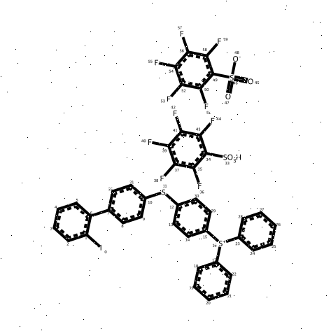 Ic1ccccc1-c1ccc(Sc2ccc([S+](c3ccccc3)c3ccccc3)cc2)cc1.O=S(=O)(O)c1c(F)c(F)c(F)c(F)c1F.O=S(=O)([O-])c1c(F)c(F)c(F)c(F)c1F